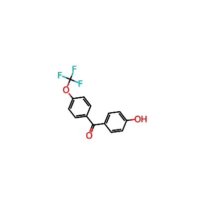 O=C(c1ccc(O)cc1)c1ccc(OC(F)(F)F)cc1